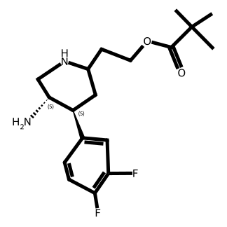 CC(C)(C)C(=O)OCCC1C[C@@H](c2ccc(F)c(F)c2)[C@H](N)CN1